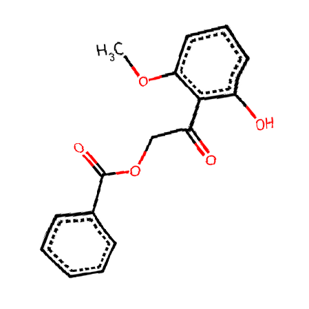 COc1cccc(O)c1C(=O)COC(=O)c1ccccc1